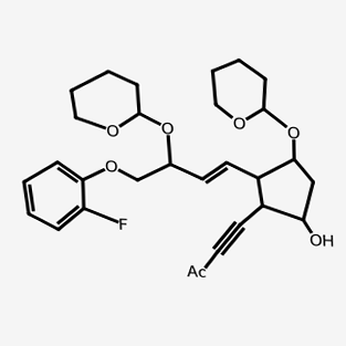 CC(=O)C#CC1C(O)CC(OC2CCCCO2)C1C=CC(COc1ccccc1F)OC1CCCCO1